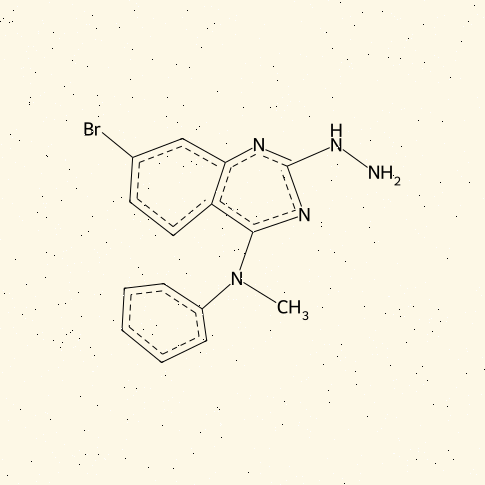 CN(c1ccccc1)c1nc(NN)nc2cc(Br)ccc12